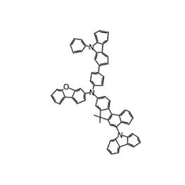 CC1(C)c2cc(N(c3ccc(-c4ccc5c6ccccc6n(-c6ccccc6)c5c4)cc3)c3ccc4c(c3)oc3ccccc34)ccc2-c2c1cc(-n1c3ccccc3c3ccccc31)c1ccccc21